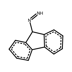 N=NC1c2ccccc2-c2ccccc21